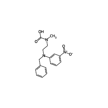 CN(CCN(Cc1ccccc1)c1cccc([N+](=O)[O-])c1)C(=O)O